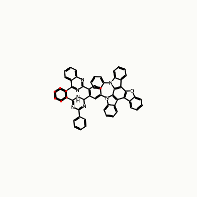 c1ccc(C2=NC(c3cc(-n4c5ccccc5c5c6c7ccccc7oc6c6c7ccccc7n(-c7ccccc7)c6c54)ccc3-c3nc(-c4ccccc4)c4ccccc4n3)NC(c3ccccc3)=N2)cc1